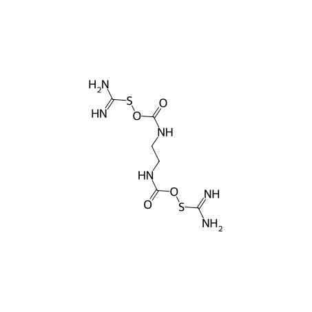 N=C(N)SOC(=O)NCCNC(=O)OSC(=N)N